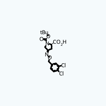 CC(C)(C)OC(=O)N1CC(=NOCc2ccc(Cl)c(Cl)c2)C[C@H]1C(=O)O